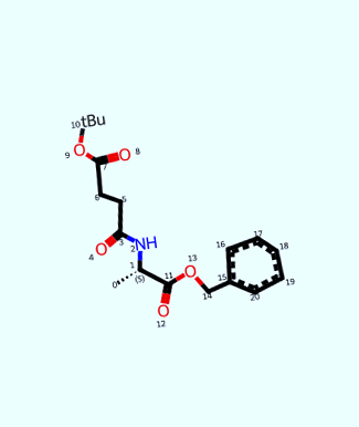 C[C@H](NC(=O)CCC(=O)OC(C)(C)C)C(=O)OCc1ccccc1